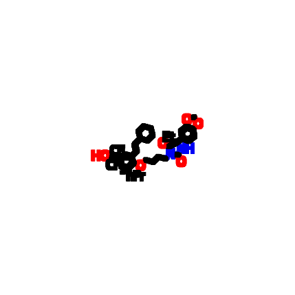 CCCc1cc(C(O)(C(F)(F)F)C(F)(F)F)cc(C=CC2CCCCC2)c1OCCCCN1C(=O)NC(CC)(c2ccc3c(c2)OCO3)C1=O